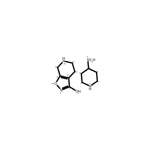 O=S(=O)(O)C1CCNCC1.Oc1noc2c1CCNC2